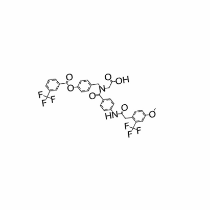 COc1ccc(CC(=O)Nc2ccc(C(=O)N(CC(=O)O)Cc3ccc(OC(=O)c4cccc(C(F)(F)F)c4)cc3)cc2)c(C(F)(F)F)c1